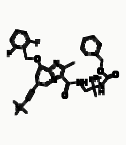 CCCC(C)(CNC(=O)c1c(C)nc2c(OCc3c(F)cccc3F)cc(C#C[Si](C)(C)C)cn12)NC(=O)OCc1ccccc1